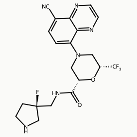 N#Cc1ccc(N2C[C@@H](C(=O)NC[C@@]3(F)CCNC3)O[C@@H](C(F)(F)F)C2)c2nccnc12